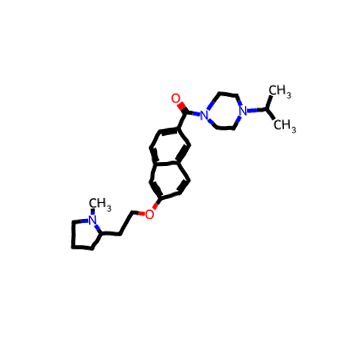 CC(C)N1CCN(C(=O)c2ccc3cc(OCCC4CCCN4C)ccc3c2)CC1